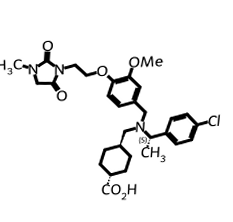 COc1cc(CN(C[C@H]2CC[C@H](C(=O)O)CC2)[C@@H](C)c2ccc(Cl)cc2)ccc1OCCN1C(=O)CN(C)C1=O